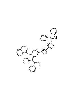 c1ccc(-n2c(-c3ccc(-c4ccc(-c5ccc6c(-c7cccc8ccccc78)c7ccccc7c(-c7cccc8ccccc78)c6c5)s4)s3)nc3ccccc32)cc1